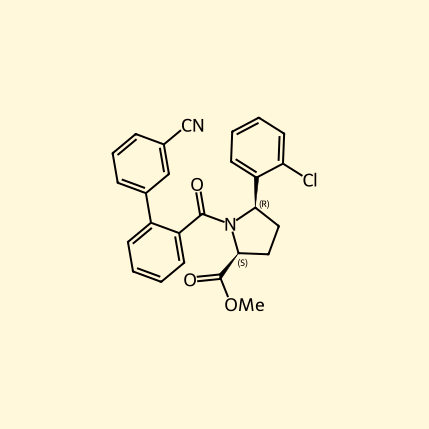 COC(=O)[C@@H]1CC[C@H](c2ccccc2Cl)N1C(=O)c1ccccc1-c1cccc(C#N)c1